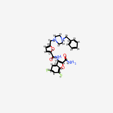 NC(=O)c1oc2c(F)cc(F)cc2c1NC(=O)c1ccc(CN2CCN(Cc3ccccc3)CC2)o1